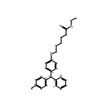 CCOC(=O)CCCCCOc1ccc(C(c2ccc(C)cc2)c2ccccn2)cc1